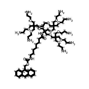 NCCOCC(COCCN)(COCCN)COCC(COCC(COCCN)(COCCN)COCCN)(COCC(COCCN)(COCCN)COCCN)NC(=O)CCCCCCCNC(=O)OCc1c2ccccc2cc2ccccc12